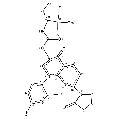 CC[C@@H](NC(=O)Oc1cn(-c2ccc(F)cc2F)c2nc(N3CCCC3=O)ccc2c1=O)C(F)(F)F